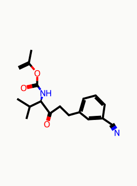 C=C(C)OC(=O)N[C@@H](C(=O)CCc1cccc(C#N)c1)C(C)C